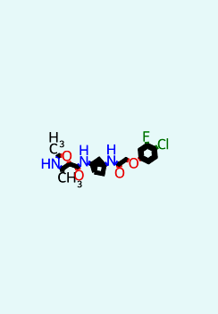 CC1NC(C)C(C(=O)NC2CC3(NC(=O)COc4ccc(Cl)c(F)c4)CC2C3)O1